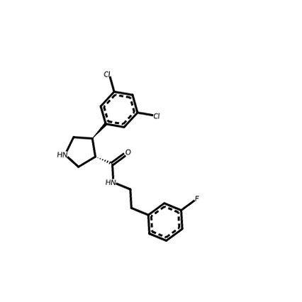 O=C(NCCc1cccc(F)c1)[C@@H]1CNC[C@H]1c1cc(Cl)cc(Cl)c1